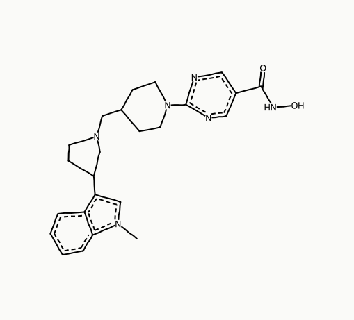 Cn1cc(C2CCN(CC3CCN(c4ncc(C(=O)NO)cn4)CC3)C2)c2ccccc21